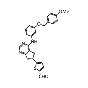 COc1ccc(COc2cccc(Nc3ncnc4cc(-c5ccc(C=O)s5)sc34)c2)cc1